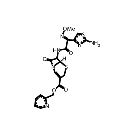 CON=C(C(=O)NC1C(=O)N2C=C(C(=O)OCc3ccccn3)CS[C@H]12)c1csc(N)n1